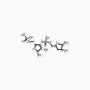 B[C@@H]1O[C@H](COP(=O)(O)O[C@@H]2[C@H](O)[C@H](B)O[C@@H]2COP(=O)(O)O)CC1O